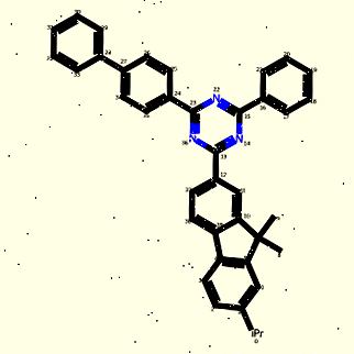 CC(C)c1ccc2c(c1)C(C)(C)c1cc(-c3nc(-c4ccccc4)nc(-c4ccc(-c5ccccc5)cc4)n3)ccc1-2